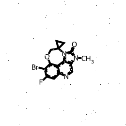 Cn1c(=O)n2c3c4c(c(Br)c(F)cc4ncc31)OCC21CC1